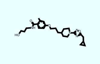 Cc1cc(OCCCC2CCN(c3noc(CC4CC4)n3)CC2)ccc1C(=O)NCCCO